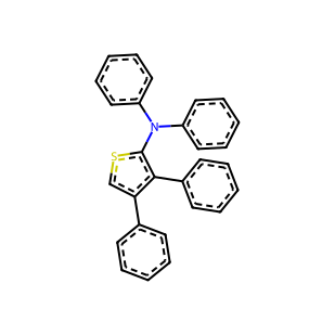 c1ccc(-c2csc(N(c3ccccc3)c3ccccc3)c2-c2ccccc2)cc1